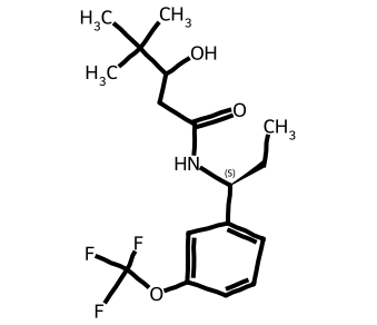 CC[C@H](NC(=O)CC(O)C(C)(C)C)c1cccc(OC(F)(F)F)c1